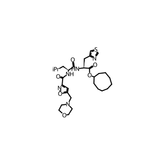 CC(C)C[C@H](NC(=O)c1cc(CN2CCOCC2)on1)C(=O)N[C@@H](Cc1cscn1)C(=O)OC1CCCCCCCC1